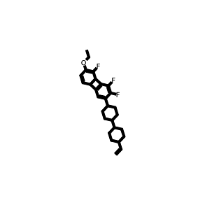 C=CC1CCC(C2CCC(c3cc4c(c(F)c3F)C3C(F)=C(OCC)C=CC43)CC2)CC1